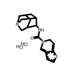 Cl.Cl.O=C(NC1C2CC3CC1CN(C3)C2)N1C=c2ccsc2=CC1